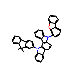 CC1(C)c2ccccc2-c2ccc(-n3c4ccccc4c4ccc5c(c6ccccc6n5-c5cccc6c5oc5ccccc56)c43)cc21